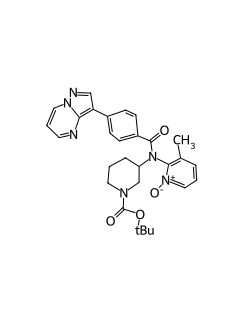 Cc1ccc[n+]([O-])c1N(C(=O)c1ccc(-c2cnn3cccnc23)cc1)C1CCCN(C(=O)OC(C)(C)C)C1